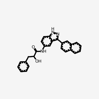 O=C(Nc1ccc2[nH]nc(-c3ccc4ccccc4c3)c2c1)C(O)Cc1ccccc1